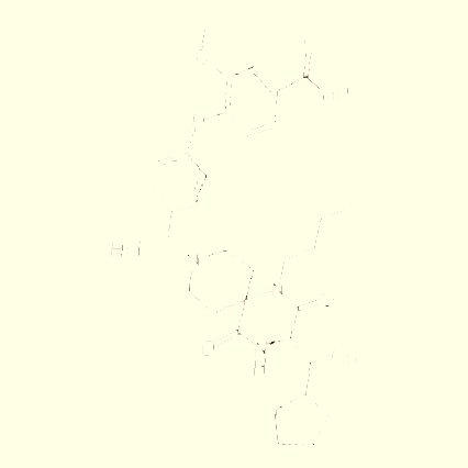 CCCCN1C(=O)[C@@H]([C@H](O)C2CCCC2)NC(=O)C12CCN(Cc1ccc(Oc3ccc(C(=O)O)cc3OC)cc1)CC2.Cl